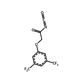 O=C=NC(=O)COc1cc(C(F)(F)F)cc(C(F)(F)F)c1